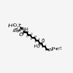 CCCCCC=CCC(=O)C(O)CCCCCCCC(=O)N[C@H](C(=O)O)[C@@H](C)CC